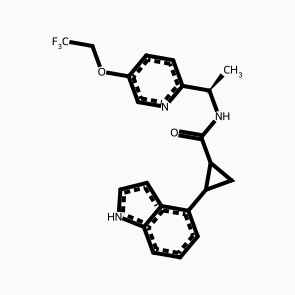 C[C@@H](NC(=O)C1CC1c1cccc2[nH]ccc12)c1ccc(OCC(F)(F)F)cn1